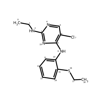 CCNc1ncc(Cl)c(Nc2ccccc2SCC)n1